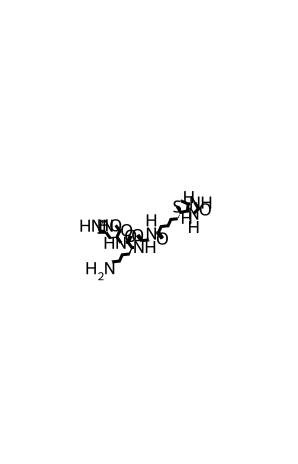 NCCCC[C@H](NC(=O)CNC(=O)CCCC[C@@H]1SC[C@@H]2NC(=O)N[C@@H]21)C(=O)N[C@@H](Cc1c[nH]cn1)C(=O)O